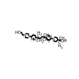 CC(C)(CCC(C)(C)c1ccc(N2CCN(CCO)CC2)nn1)c1ccc(N2CCC(C(C)(C)O)CC2)nn1